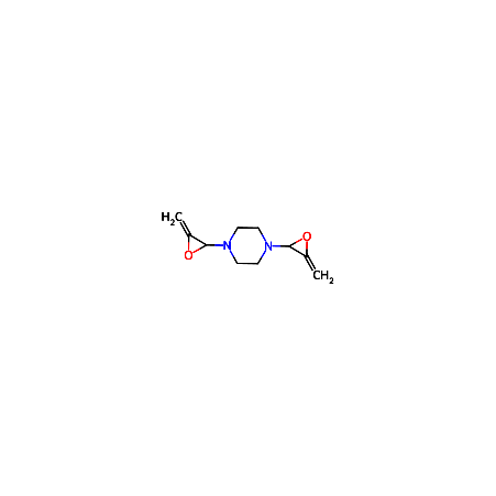 C=C1OC1N1CCN(C2OC2=C)CC1